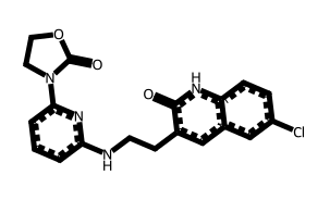 O=C1OCCN1c1cccc(NCCc2cc3cc(Cl)ccc3[nH]c2=O)n1